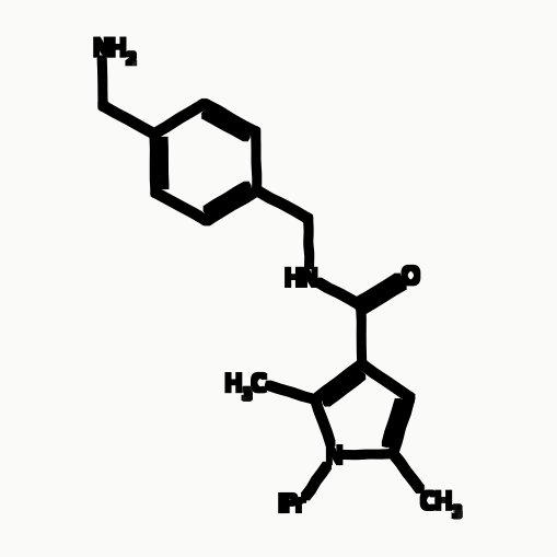 Cc1cc(C(=O)NCc2ccc(CN)cc2)c(C)n1C(C)C